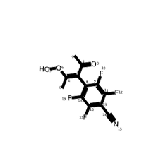 CC(=O)/C(=C(/C)OO)c1c(F)c(F)c(C#N)c(F)c1F